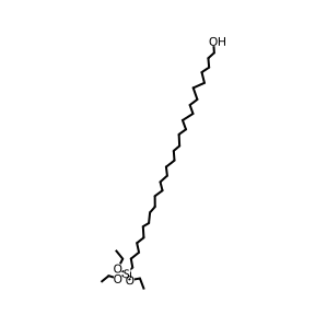 CCO[Si](CCCCCCCCCCCCCCCCCCCCCCCCCCCCCO)(OCC)OCC